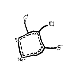 [Na+].[S-]c1ccnc(Cl)c1Cl